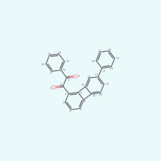 O=C(C(=O)c1cccc2c1-c1cc(-c3ccccc3)ccc1-2)c1ccccc1